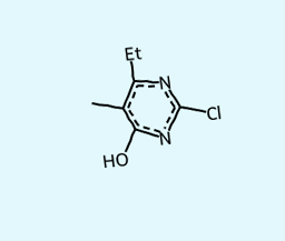 CCc1nc(Cl)nc(O)c1C